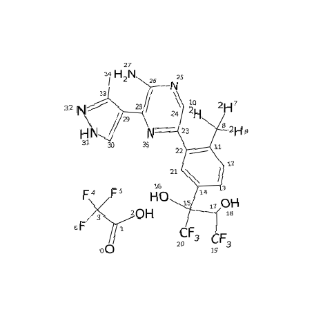 O=C(O)C(F)(F)F.[2H]C([2H])([2H])c1ccc(C(O)(C(O)C(F)(F)F)C(F)(F)F)cc1-c1cnc(N)c(-c2c[nH]nc2C)n1